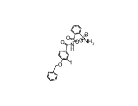 NS(=O)(=O)c1ccccc1S(=O)(=O)NC(=O)c1ccc(OCc2ccccc2)c(I)c1